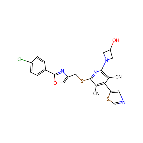 N#Cc1c(SCc2coc(-c3ccc(Cl)cc3)n2)nc(N2CC(O)C2)c(C#N)c1-c1cncs1